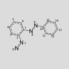 [N]=Nc1ccccc1N=Nc1ccccc1